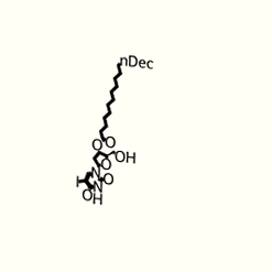 CCCCCCCCCCCCCCCCCCCCCC(=O)O[C@H]1C[C@H](n2cc(I)c(=O)[nH]c2=O)O[C@@H]1CO